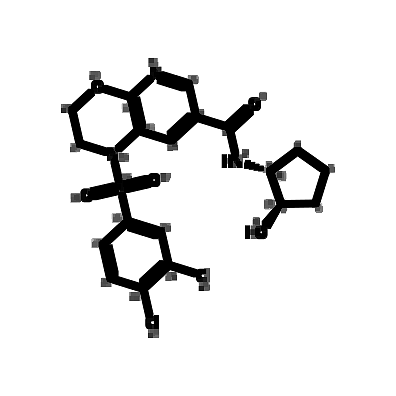 O=C(N[C@@H]1CCC[C@H]1O)c1cnc2c(c1)N(S(=O)(=O)c1ccc(Cl)c(Cl)c1)CCO2